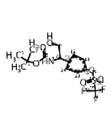 CC(C)(C)OC(=O)NC(CO)c1ccc(OS(=O)(=O)C(F)(F)F)cc1